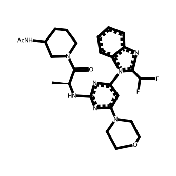 CC(=O)NC1CCCN(C(=O)[C@H](C)Nc2nc(N3CCOCC3)cc(-n3c(C(F)F)nc4ccccc43)n2)C1